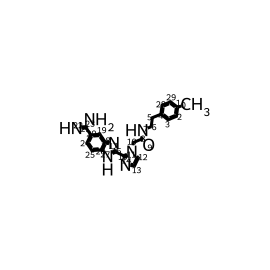 Cc1ccc(CCNC(=O)Cn2ccnc2-c2nc3cc(C(=N)N)ccc3[nH]2)cc1